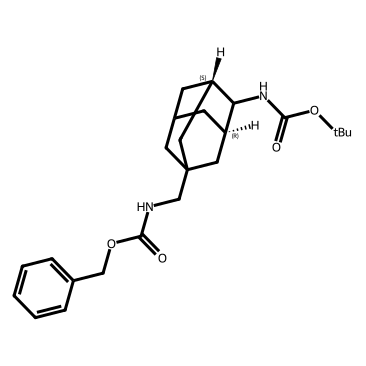 CC(C)(C)OC(=O)NC1[C@@H]2CC3C[C@H]1CC(CNC(=O)OCc1ccccc1)(C3)C2